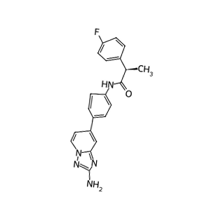 C[C@@H](C(=O)Nc1ccc(-c2ccn3nc(N)nc3c2)cc1)c1ccc(F)cc1